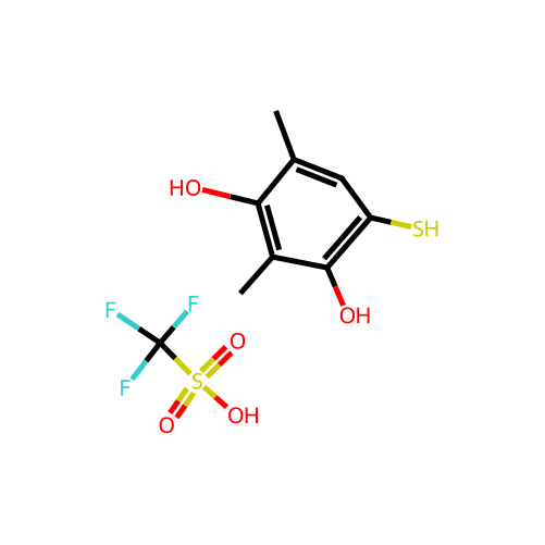 Cc1cc(S)c(O)c(C)c1O.O=S(=O)(O)C(F)(F)F